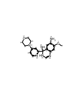 COc1cc2c(cc1N)C(N)(c1cc(N3CCOCC3)ccn1)NC=N2